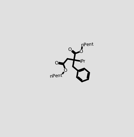 CCCCCOC(=O)CC(Cc1ccccc1)(C(=O)OCCCCC)C(C)C